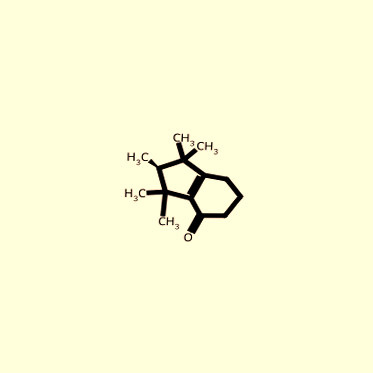 C[C@H]1C(C)(C)C2=C(C(=O)CCC2)C1(C)C